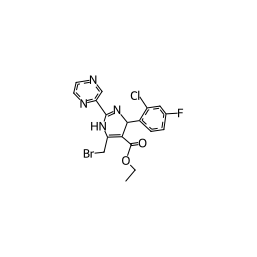 CCOC(=O)C1=C(CBr)NC(c2cnccn2)=NC1c1ccc(F)cc1Cl